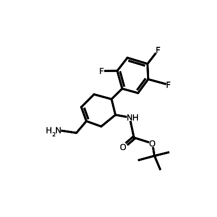 CC(C)(C)OC(=O)NC1CC(CN)=CCC1c1cc(F)c(F)cc1F